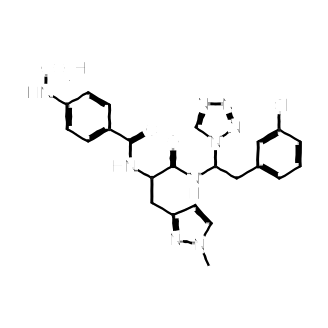 Cn1ccc(CC(NC(=O)c2ccc(NC(=O)O)cc2)C(=O)NC(Cc2cccc(Cl)c2)n2cnnn2)n1